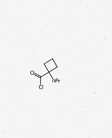 CCCC1(C(=O)Cl)CCC1